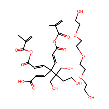 C=C(C)C(=O)OC(=O)C=CC(C=CC(=O)O)(C=CC(=O)OC(=O)C(=C)C)C(CO)(CO)CCO.OCCOCCOCCOCCO